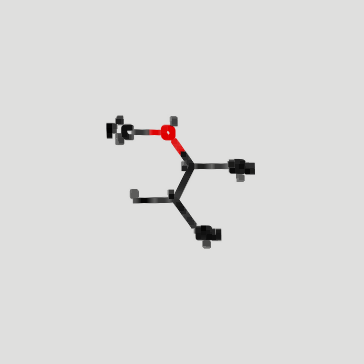 CC(C(OC(F)(F)F)C(C)(C)C)C(C)(C)C